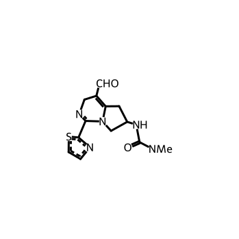 CNC(=O)NC1CC2=C(C=O)CN=C(c3nccs3)N2C1